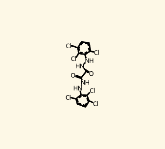 O=C(NNc1c(Cl)ccc(Cl)c1Cl)C(=O)NNc1c(Cl)ccc(Cl)c1Cl